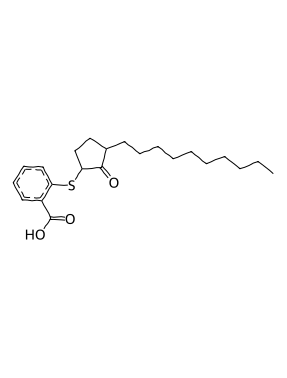 CCCCCCCCCCC1CCC(Sc2ccccc2C(=O)O)C1=O